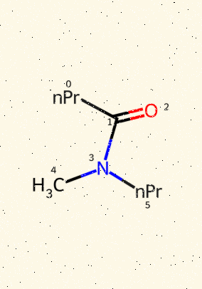 CCCC(=O)N(C)CCC